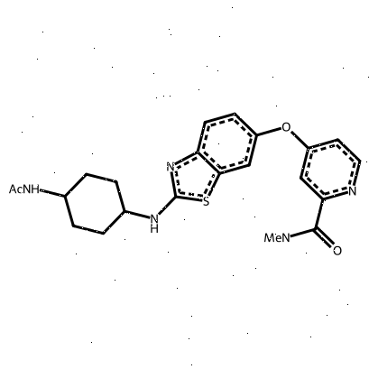 CNC(=O)c1cc(Oc2ccc3nc(NC4CCC(NC(C)=O)CC4)sc3c2)ccn1